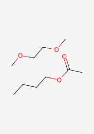 CCCCOC(C)=O.COCCOC